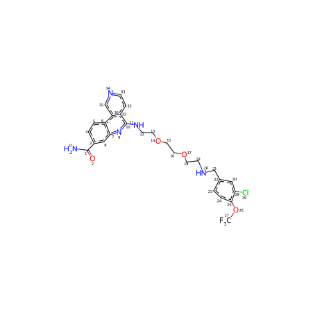 NC(=O)c1ccc2c(c1)nc(NCCOCCOCCNCc1ccc(OC(F)(F)F)c(Cl)c1)c1ccncc12